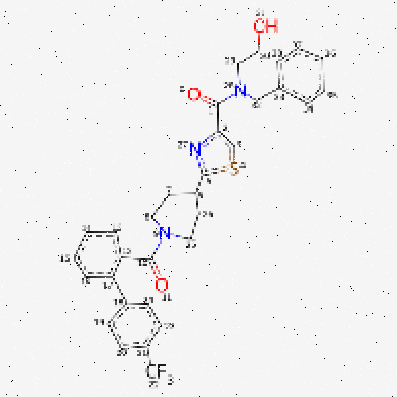 O=C(c1csc(C2CCN(C(=O)c3ccccc3-c3ccc(C(F)(F)F)cc3)CC2)n1)N(CCO)Cc1ccccc1